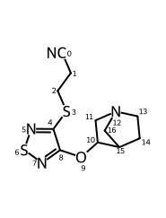 N#CCCSc1nsnc1OC1CN2CCC1C2